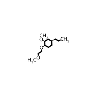 CCC[C@H]1CC[C@@H](OCCOC)[C@H](OC)C1